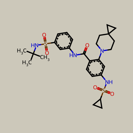 CC(C)(C)NS(=O)(=O)c1cccc(NC(=O)c2ccc(NS(=O)(=O)C3CC3)cc2N2CCC3(CC2)CC3)c1